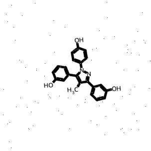 Cc1c(-c2cccc(O)c2)nn(-c2ccc(O)cc2)c1-c1cccc(O)c1